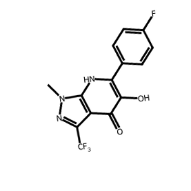 Cn1nc(C(F)(F)F)c2c(=O)c(O)c(-c3ccc(F)cc3)[nH]c21